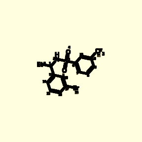 CCC(NS(=O)(=O)c1cccc(C(F)(F)F)c1)c1cccc(Br)c1